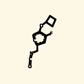 O=C=NCc1ccc(OC2CCC2)c(F)c1